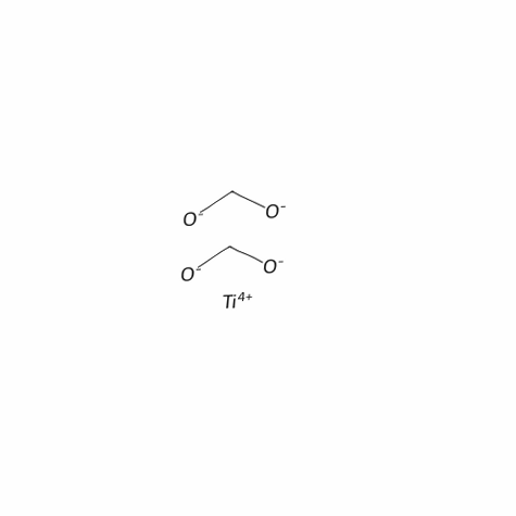 [O-]C[O-].[O-]C[O-].[Ti+4]